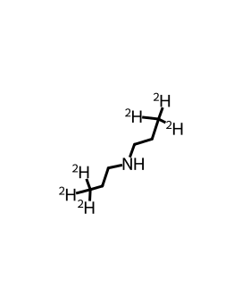 [2H]C([2H])([2H])CCNCCC([2H])([2H])[2H]